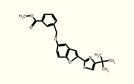 COC(=O)c1cccc(COc2ccc3oc(-c4nc(C(C)(C)C)cs4)cc3c2)c1